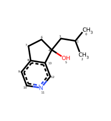 CC(C)CC1(O)CCc2ccncc21